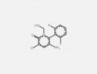 Nc1cc(Cl)c(=O)n(CO)c1-c1c(F)cccc1F